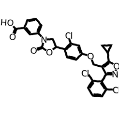 O=C(O)c1cccc(N2CC(c3ccc(OCc4c(-c5c(Cl)cccc5Cl)noc4C4CC4)cc3Cl)OC2=O)c1